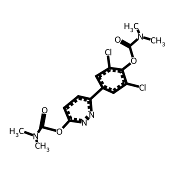 CN(C)C(=O)Oc1ccc(-c2cc(Cl)c(OC(=O)N(C)C)c(Cl)c2)nn1